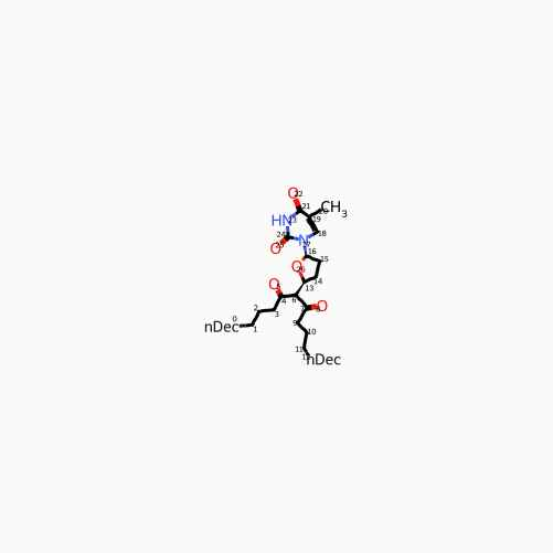 CCCCCCCCCCCCCC(=O)C(C(=O)CCCCCCCCCCCCC)[C@@H]1CC[C@H](n2cc(C)c(=O)[nH]c2=O)O1